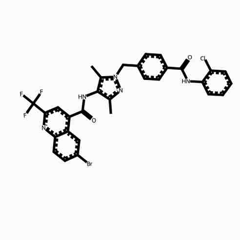 Cc1nn(Cc2ccc(C(=O)Nc3ccccc3Cl)cc2)c(C)c1NC(=O)c1cc(C(F)(F)F)nc2ccc(Br)cc12